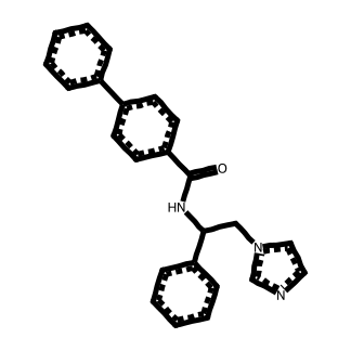 O=C(NC(Cn1ccnc1)c1ccccc1)c1ccc(-c2ccccc2)cc1